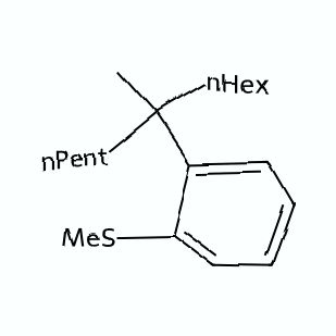 CCCCCCC(C)(CCCCC)c1ccccc1SC